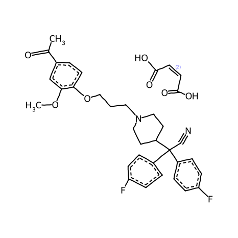 COc1cc(C(C)=O)ccc1OCCCN1CCC(C(C#N)(c2ccc(F)cc2)c2ccc(F)cc2)CC1.O=C(O)/C=C\C(=O)O